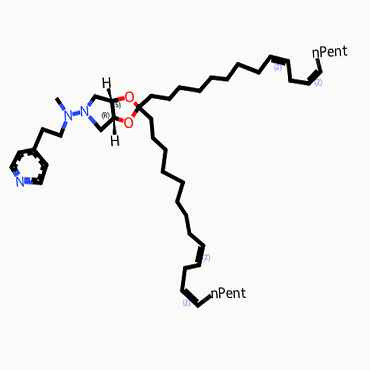 CCCCC/C=C\C/C=C\CCCCCCCCC1(CCCCCCCC/C=C\C/C=C\CCCCC)O[C@H]2CN(N(C)CCc3ccncc3)C[C@H]2O1